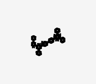 c1ccc(-c2ccnc(-c3cc(-c4ccccc4)cc(-c4ccc(-c5ccc(-c6nc(-c7ccccc7)nc(-c7ccccc7)n6)cc5)cn4)n3)c2)cc1